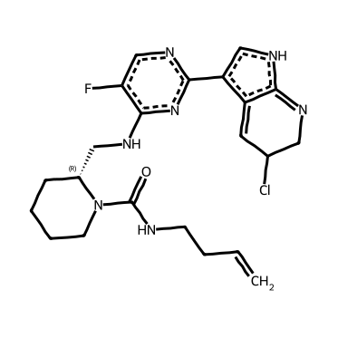 C=CCCNC(=O)N1CCCC[C@@H]1CNc1nc(-c2c[nH]c3c2=CC(Cl)CN=3)ncc1F